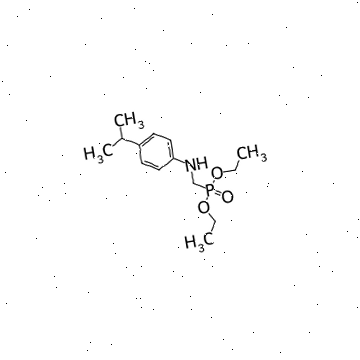 CCOP(=O)(CNc1ccc(C(C)C)cc1)OCC